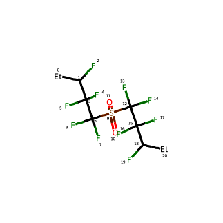 CCC(F)C(F)(F)C(F)(F)S(=O)(=O)C(F)(F)C(F)(F)C(F)CC